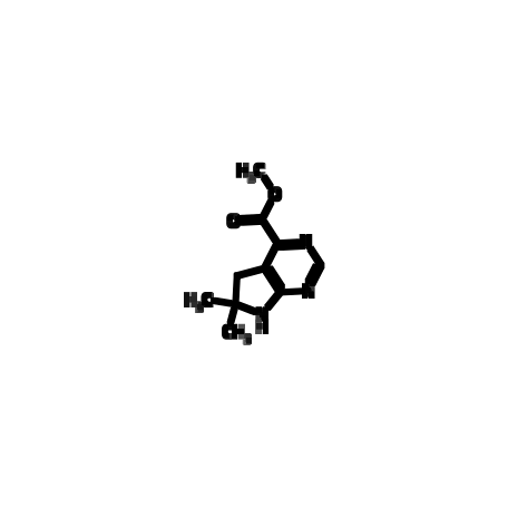 COC(=O)c1ncnc2c1CC(C)(C)N2